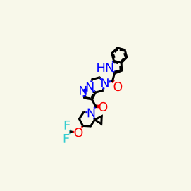 O=C(c1cc2ccccc2[nH]1)N1CCn2ncc(C(=O)N3CCC(OC(F)F)CC34CC4)c2C1